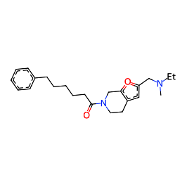 CCN(C)Cc1cc2c(o1)CN(C(=O)CCCCCc1ccccc1)CC2